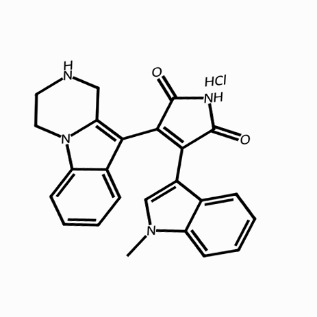 Cl.Cn1cc(C2=C(c3c4n(c5ccccc35)CCNC4)C(=O)NC2=O)c2ccccc21